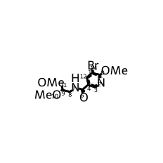 COc1ncc(C(=O)NCC(OC)OC)cc1Br